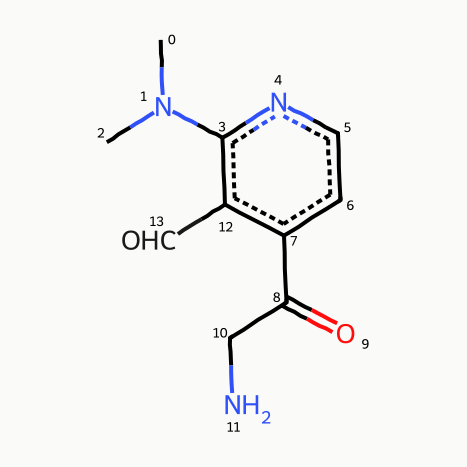 CN(C)c1nccc(C(=O)CN)c1C=O